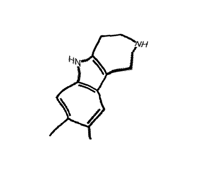 Cc1cc2[nH]c3c(c2cc1C)CNCC3